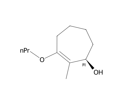 CCCOC1=C(C)[C@H](O)CCCC1